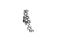 CCCC1CCC(CCc2ccc3c(c2F)C(F)(F)C(F)(F)c2c-3ccc(C3CCC(CCC)CC3)c2F)CC1